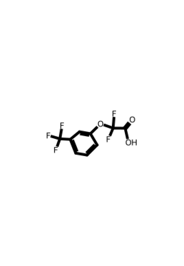 O=C(O)C(F)(F)Oc1cccc(C(F)(F)F)c1